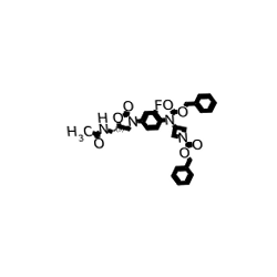 CC(=O)NC[C@H]1CN(c2ccc(N(C(=O)OCc3ccccc3)C3CN(C(=O)OCc4ccccc4)C3)c(F)c2)C(=O)O1